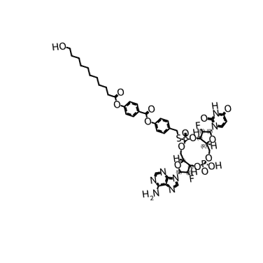 Nc1ncnc2c1ncn2[C@@H]1O[C@@H]2COP(=O)(SCc3ccc(OC(=O)c4ccc(OC(=O)CCCCCCCCCCO)cc4)cc3)O[C@H]3[C@@H](F)[C@H](n4ccc(=O)[nH]c4=O)O[C@@H]3COP(=O)(O)O[C@H]2[C@H]1F